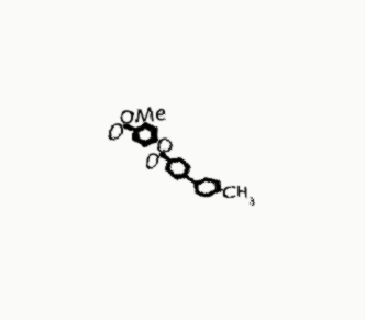 COC(=O)c1ccc(OC(=O)C2CCC(C3CCC(C)CC3)CC2)cc1